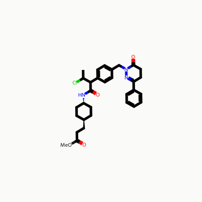 COC(=O)CC[C@H]1CC[C@H](NC(=O)C(c2ccc(CN3N=C(c4ccccc4)CCC3=O)cc2)C(C)Cl)CC1